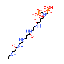 CCNCCC(=O)NCCNCCC(=O)NCCNC(=O)CCCN(C[PH](O)(O)O)C[PH](O)(O)O